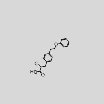 O=C(O)C(Cl)Cc1ccc(CCOc2ccccc2)cc1